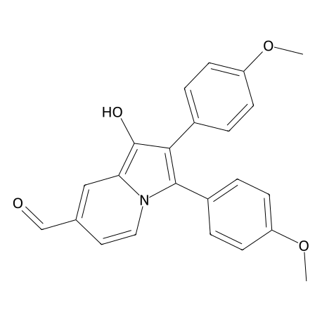 COc1ccc(-c2c(O)c3cc(C=O)ccn3c2-c2ccc(OC)cc2)cc1